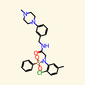 Cc1ccc(Cl)c(N(CC(=O)NCc2cccc(N3CCN(C)CC3)c2)S(=O)(=O)c2ccccc2)c1